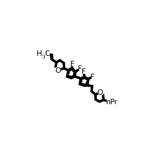 C/C=C/C1CCC(c2ccc(-c3ccc(CCC4CCC(CCC)CO4)c(F)c3F)c(F)c2F)OC1